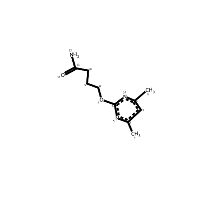 Cc1[c]c(C)nc(OCCCC(N)=O)n1